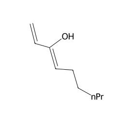 C=CC(O)=CCCCCC